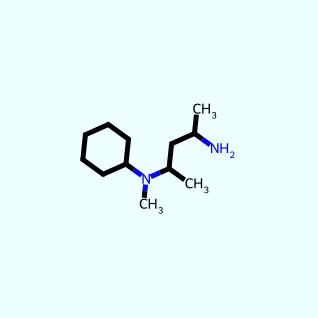 CC(N)CC(C)N(C)C1CCCCC1